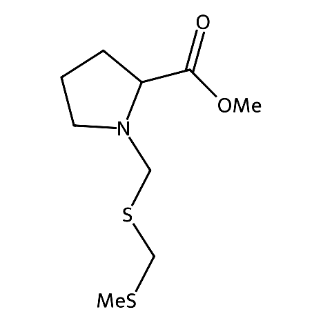 COC(=O)C1CCCN1CSCSC